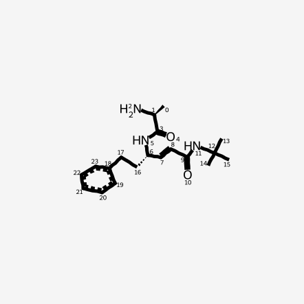 C[C@H](N)C(=O)N[C@H](/C=C/C(=O)NC(C)(C)C)CCc1ccccc1